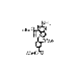 CCCCONc1nc(N)nc2ccn(Cc3ccc(C(=O)OC)cc3OC)c12